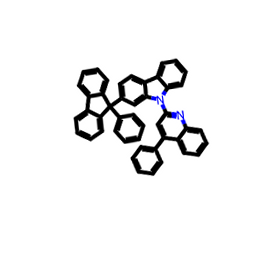 c1ccc(-c2cc(-n3c4ccccc4c4ccc(C5(c6ccccc6)c6ccccc6-c6ccccc65)cc43)nc3ccccc23)cc1